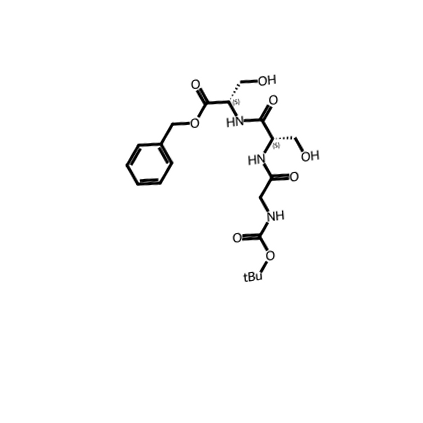 CC(C)(C)OC(=O)NCC(=O)N[C@@H](CO)C(=O)N[C@@H](CO)C(=O)OCc1ccccc1